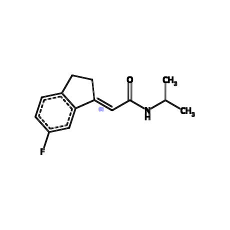 CC(C)NC(=O)/C=C1\CCc2ccc(F)cc21